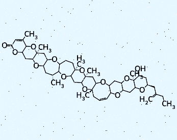 C=C(CC)C[C@@H]1C[C@H](O)[C@]2(C)OC3CC4OC5C[C@]6(C)O[C@]7(C)CCC8OC9C[C@]%10(C)OC%11C(C)=CC(=O)OC%11CC%10OC9C[C@@H](C)C8OC7CC6O[C@@]5(C)C/C=C\C4OC3CC2O1